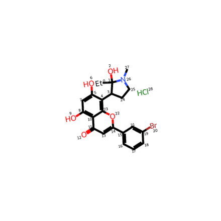 CCC1(O)C(c2c(O)cc(O)c3c(=O)cc(-c4cccc(Br)c4)oc23)CCN1C.Cl